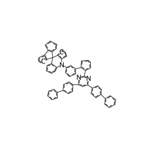 c1ccc(-c2ccc(-c3cc(-c4ccc(-c5ccccc5)cc4)nc(-c4ccccc4-c4cccc(N5c6ccccc6C6(c7ccccc7-c7ccccc76)c6ccccc65)c4)n3)cc2)cc1